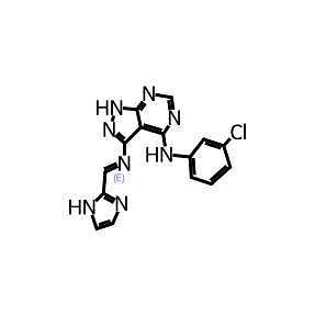 Clc1cccc(Nc2ncnc3[nH]nc(/N=C/c4ncc[nH]4)c23)c1